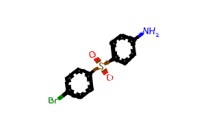 Nc1ccc(S(=O)(=O)c2ccc(Br)cc2)cc1